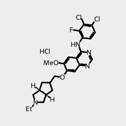 CCN1C[C@H]2CC(COc3cc4ncnc(Nc5ccc(Cl)c(Cl)c5F)c4cc3OC)C[C@H]2C1.Cl